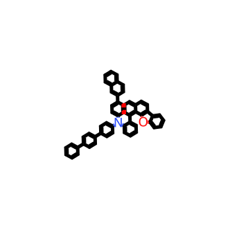 c1ccc(-c2ccc(-c3ccc(N(c4ccc(-c5ccc6ccccc6c5)cc4)c4ccccc4-c4cccc5ccc6c7ccccc7oc6c45)cc3)cc2)cc1